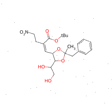 CC(C)(C)OC(=O)C(=CC1OC(C)(Cc2ccccc2)OC1C(O)CO)CC[N+](=O)[O-]